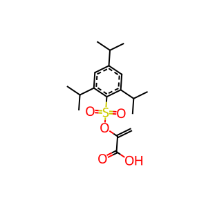 C=C(OS(=O)(=O)c1c(C(C)C)cc(C(C)C)cc1C(C)C)C(=O)O